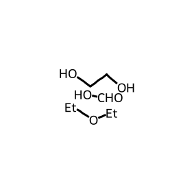 CCOCC.O=CO.OCCO